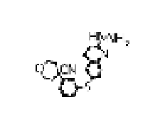 N#CC1(c2cccc(Sc3ccc4nc(NN)ccc4c3)c2)CCOCC1